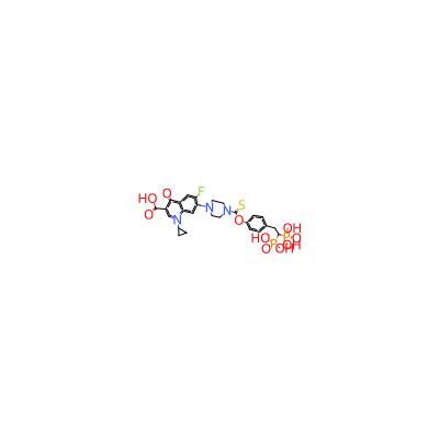 O=C(O)c1cn(C2CC2)c2cc(N3CCN(C(=S)Oc4ccc(CC(P(=O)(O)O)P(=O)(O)O)cc4)CC3)c(F)cc2c1=O